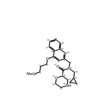 COCCCOc1cc(CN(CC2CC2)C(=O)[C@H]2CNCCO2)nc2ccccc12